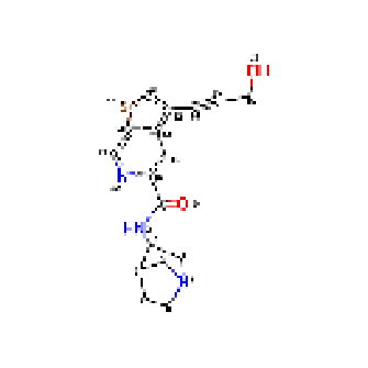 O=C(NC1CN2CCC1C2)c1cc2c(C#CCO)csc2cn1